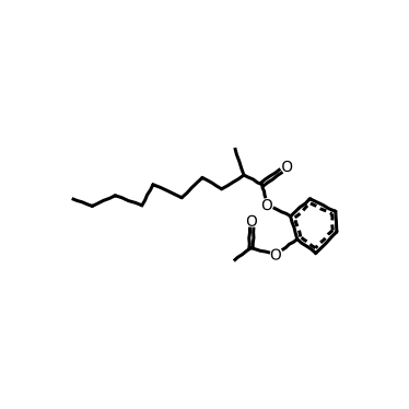 CCCCCCCCC(C)C(=O)Oc1ccccc1OC(C)=O